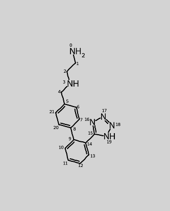 NCCNCc1ccc(-c2ccccc2-c2nnn[nH]2)cc1